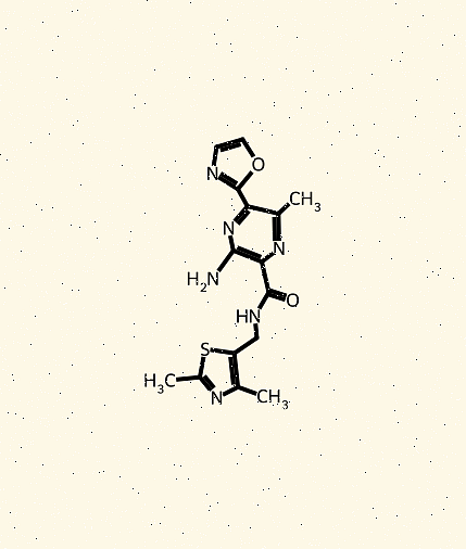 Cc1nc(C)c(CNC(=O)c2nc(C)c(-c3ncco3)nc2N)s1